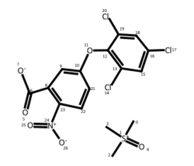 C[S+](C)(C)=O.O=C([O-])c1cc(Oc2c(Cl)cc(Cl)cc2Cl)ccc1[N+](=O)[O-]